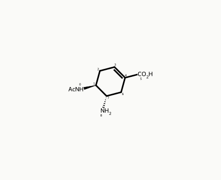 CC(=O)N[C@H]1CC=C(C(=O)O)C[C@@H]1N